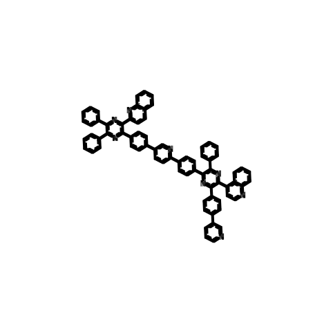 c1ccc(-c2nc(-c3ccc(-c4ccc(-c5ccc(-c6nc(-c7ccc(-c8cccnc8)cc7)c(-c7ccnc8ccccc78)nc6-c6ccccc6)cc5)nc4)cc3)c(-c3ccc4ccccc4n3)nc2-c2ccccc2)cc1